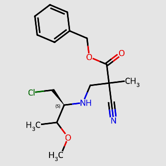 COC(C)[C@@H](CCl)NCC(C)(C#N)C(=O)OCc1ccccc1